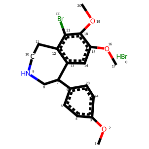 Br.COc1ccc(C2CNCCc3c2cc(OC)c(OC)c3Br)cc1